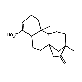 CC12CCC3C(CCC4C(C(=O)O)=CCCC43C)(CC1=O)C2